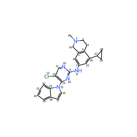 CN1CCc2c(cc(Nc3ncc(Cl)c(-n4ccc5ccccc54)n3)cc2C2CC2)C1